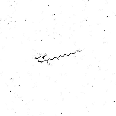 [CH2]C(CCCOCCCCCCCCCCCCCCCC)n1ccc(=O)[nH]c1=O